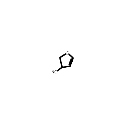 N#CC1C=CSC1